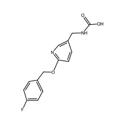 O=C(O)NCc1ccc(OCc2ccc(F)cc2)nc1